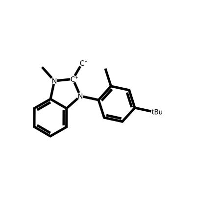 [CH2-][c+]1n(C)c2ccccc2n1-c1ccc(C(C)(C)C)cc1C